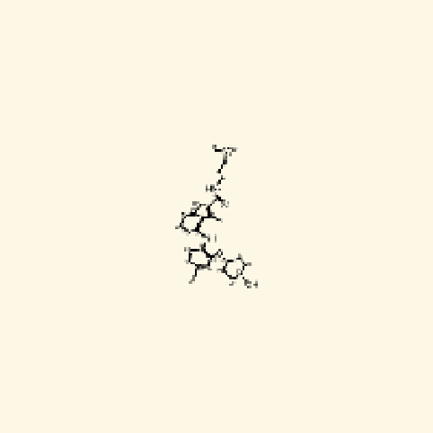 Cc1c(C(=O)NCCCN(C)C)sc2ncnc(Nc3ccc(F)cc3O[C@H]3CC[C@@H](O)CC3)c12